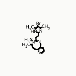 C=C1/C=C\c2ncccc2C/N=C(/CCC2N=C(C)C(Br)=C(C)N2)N1C